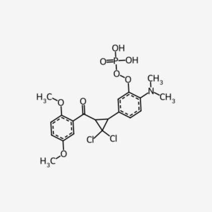 COc1ccc(OC)c(C(=O)C2C(c3ccc(N(C)C)c(OOP(=O)(O)O)c3)C2(Cl)Cl)c1